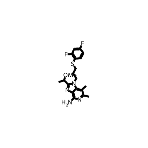 COC(C)c1nc2c(N)nc(C)c(C)c2n1CCCSc1ccc(F)cc1F